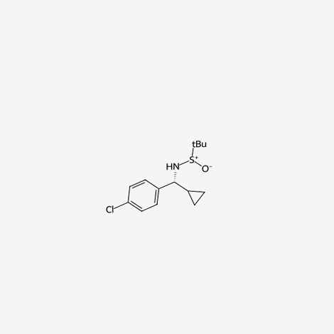 CC(C)(C)[S+]([O-])N[C@@H](c1ccc(Cl)cc1)C1CC1